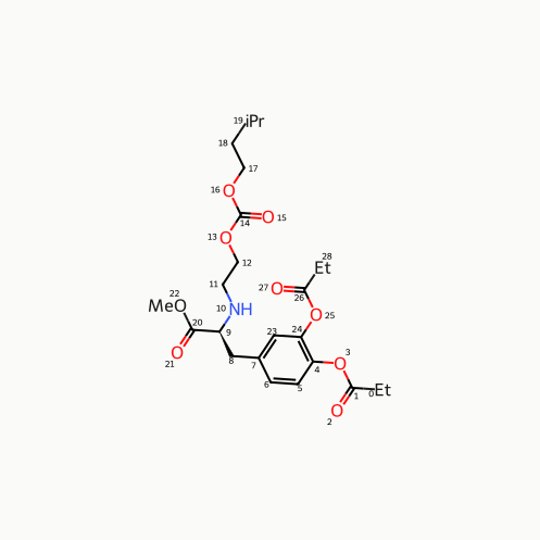 CCC(=O)Oc1ccc(C[C@H](NCCOC(=O)OCCC(C)C)C(=O)OC)cc1OC(=O)CC